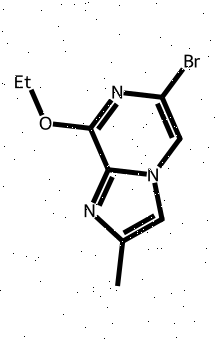 CCOc1nc(Br)cn2cc(C)nc12